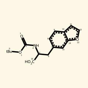 CC(C)(C)OC(=O)NC(Cc1ccc2ccoc2c1)C(=O)O